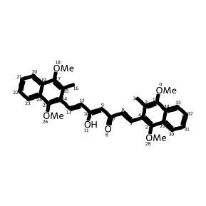 COc1c(C)c(/C=C/C(=O)/C=C(O)/C=C/c2c(C)c(OC)c3ccccc3c2OC)c(OC)c2ccccc12